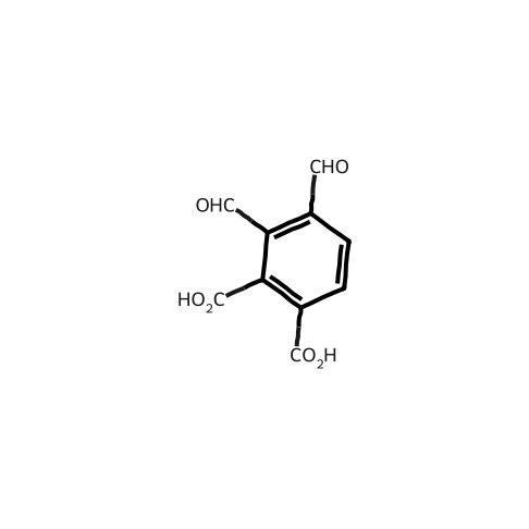 O=Cc1ccc(C(=O)O)c(C(=O)O)c1C=O